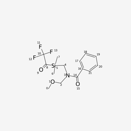 COCN(C[Si](C)(C)C(=O)C(F)(F)F)C(=O)c1ccccc1